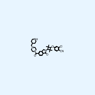 CC1(C)C(Oc2ccc(C#N)c(Cl)c2)C(C)(C)C1N1Cc2cc(C(=O)N3CCN(CC4CCNCC4)CC3)ccc2C1=O